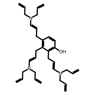 C=CCN(C=CCc1ccc(O)c(CC=CN(CC=C)CC=C)c1CC=CN(CC=C)CC=C)CC=C